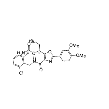 COc1ccc(-c2nc(C(=O)NCc3c(F)cccc3Cl)c([C@H](CC(C)(C)C)OC(N)=O)o2)cc1OC